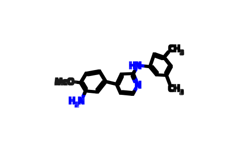 COc1ccc(-c2ccnc(Nc3cc(C)cc(C)c3)c2)cc1N